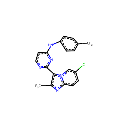 FC(F)(F)c1ccc(Nc2ccnc(-c3c(C(F)(F)F)nc4ccc(Cl)cn34)n2)cc1